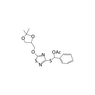 CC(=O)OC(Sc1nsc(OCC2COC(C)(C)O2)n1)c1ccccc1